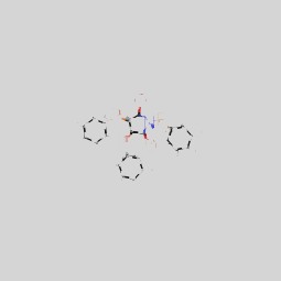 O=c1c(=Pc2ccccc2)c(=Pc2ccccc2)c(=O)n1[P]c1ccccc1